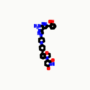 Nc1nnc(-c2ccccc2O)cc1-c1cn(C2CCN([C@H]3CC[C@H](c4cccc5c4OCCN5[C@@H]4CCC(=O)NC4=O)CC3)CC2)nn1